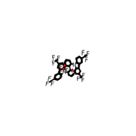 FC(F)(F)c1ccc2c(c1)c1cc(C(F)(F)F)ccc1n2-c1cccnc1-c1c(-n2c3ccc(C(F)(F)F)cc3c3cc(C(F)(F)F)ccc32)cccc1C(F)(F)F